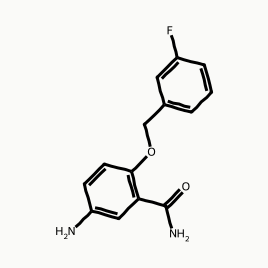 NC(=O)c1cc(N)ccc1OCc1cccc(F)c1